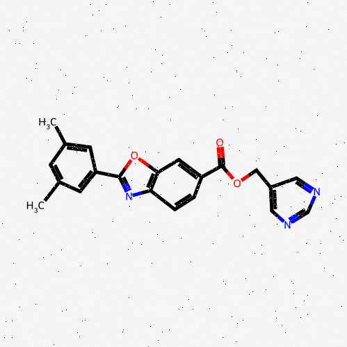 Cc1cc(C)cc(-c2nc3ccc(C(=O)OCc4cncnc4)cc3o2)c1